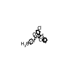 Cc1c(Sc2ccccc2)c2cc(Cl)cc3c2n1C(CN1CCN(C)CC1)CO3